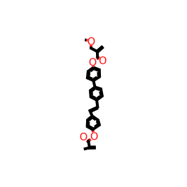 C=C(C)C(=O)Oc1ccc(/C=C/c2ccc(-c3ccc(OC(=O)C(=C)COC)cc3)cc2)cc1